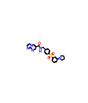 O=C(NCc1ccc(S(=O)(=O)c2cccc(N3CCCC3)c2)cc1)c1cnc2nccn2c1